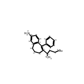 CCC(C)CCC(C)C1=C(c2ccccc2)c2ccc(N)cc2CCC1